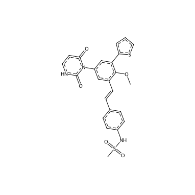 COc1c(/C=C/c2ccc(NS(C)(=O)=O)cc2)cc(-n2c(=O)cc[nH]c2=O)cc1-c1cccs1